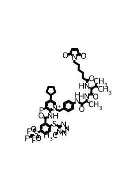 CC(C)[C@H](NC(=O)CCCCCN1C(=O)C=CC1=O)C(=O)N[C@@H](C)C(=O)Nc1ccc(C[n+]2cc(C3CCCC3)cc(F)c2NC(=O)c2cc(S(=O)(=O)C(F)(F)F)ccc2Sc2nnnn2C)cc1